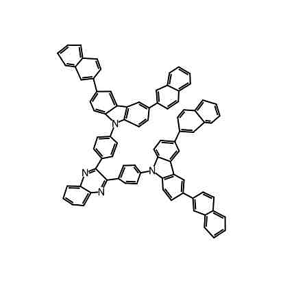 c1ccc2cc(-c3ccc4c(c3)c3cc(-c5ccc6ccccc6c5)ccc3n4-c3ccc(-c4nc5ccccc5nc4-c4ccc(-n5c6ccc(-c7ccc8ccccc8c7)cc6c6cc(-c7ccc8ccccc8c7)ccc65)cc4)cc3)ccc2c1